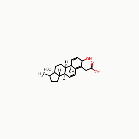 C[C@@H]1CC[C@H]2[C@@H]3C=CC4=C(CC(=O)O)C(O)C=C[C@]4(C)[C@H]3CC[C@]12C